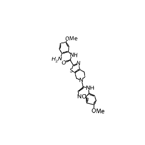 COc1ccc(NC(=C[N+](=O)[O-])N2CCc3nc(C(=O)Nc4cc(OC)ccc4N)sc3C2)cc1